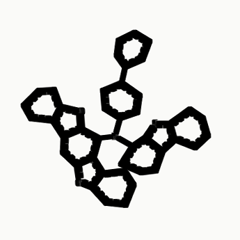 c1ccc(-c2ccc(N(c3cccc4c3sc3ccccc34)c3c4oc5ccccc5c4cc4oc5ccccc5c34)cc2)cc1